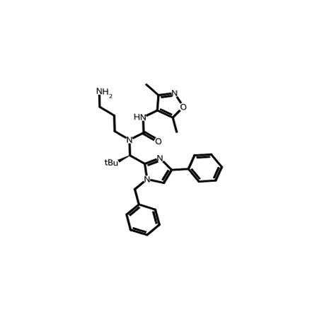 Cc1noc(C)c1NC(=O)N(CCCN)[C@@H](c1nc(-c2ccccc2)cn1Cc1ccccc1)C(C)(C)C